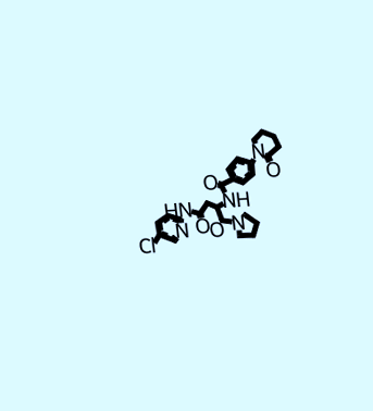 O=C(CC(NC(=O)c1ccc(N2CCCCC2=O)cc1)C(=O)N1CCCC1)Nc1ccc(Cl)cn1